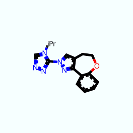 CC(C)n1cnnc1-n1cc2c(n1)-c1ccccc1OCC2